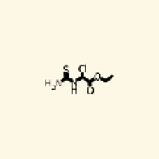 CCOC(=O)C(Cl)NC(N)=S